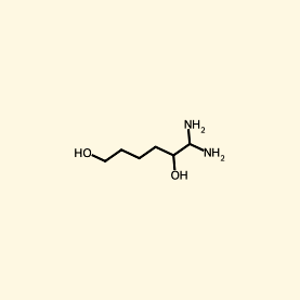 NC(N)C(O)CCCCO